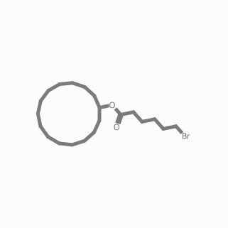 O=C(CCCCCBr)OC1CCCCCCCCCCCCCC1